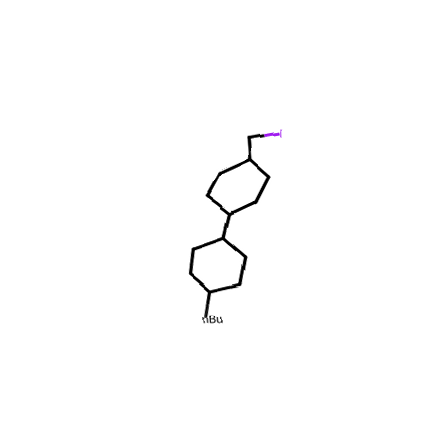 CCCCC1CCC(C2CCC(CI)CC2)CC1